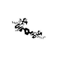 CN(C(=O)O)C(C(=O)N1CCC[C@H]1c1nc(-c2ccc(-c3c[nH]c([C@@H]4CCCN4C(=O)C(C4CCOC5(CC5)C4)N(C)C(=O)O)n3)cc2)c[nH]1)C1CCOC2(CC2)C1